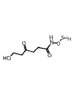 [3H]SONC(=O)CCC(=O)CCO